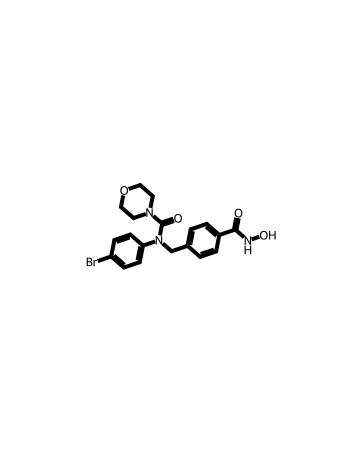 O=C(NO)c1ccc(CN(C(=O)N2CCOCC2)c2ccc(Br)cc2)cc1